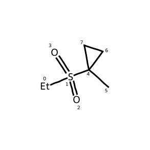 CCS(=O)(=O)C1(C)CC1